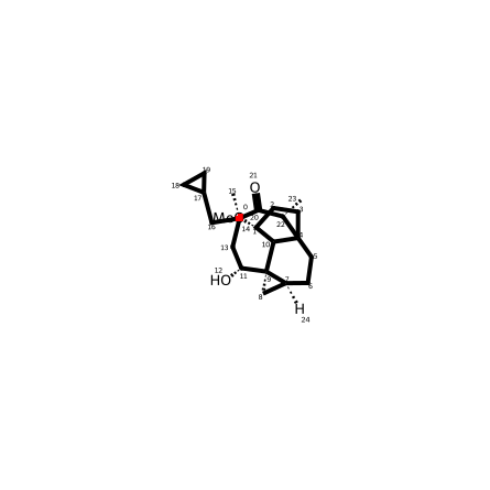 CO[C@@H]1CCC23CC[C@H]4C[C@@]4(C12)[C@H](O)C[C@@](C)(CC1CC1)C(=O)[C@@H]3C